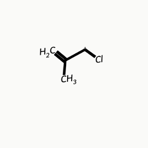 C=C(C)[CH]Cl